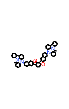 CCn1c2ccccc2c2cccc(N(c3ccccc3)c3ccc4cc5c(cc4c3)oc3c5ccc4oc5cc6cc(N(c7ccccc7)c7cccc8c9ccccc9n(CC)c78)ccc6cc5c43)c21